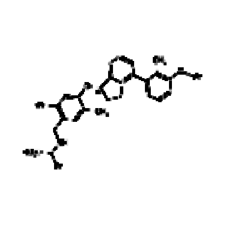 CCCOc1cccc(-c2cccc3c2CC[C@@H]3Oc2cc(CCC)c(CNC(CC)C(=O)O)cc2C)c1C